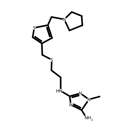 Cn1nc(NCCSCc2csc(CN3CCCC3)c2)nc1N